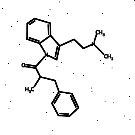 CC(Cc1ccccc1)C(=O)n1cc(CCN(C)C)c2ccccc21